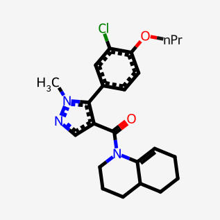 CCCOc1ccc(-c2c(C(=O)N3CCCC4CCCC=C43)cnn2C)cc1Cl